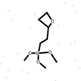 CO[Si](CCC1CCO1)(OC)OC